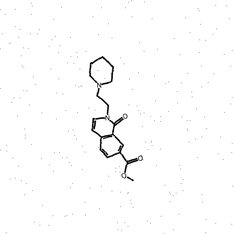 COC(=O)c1ccc2ccn(CCN3CCCCC3)c(=O)c2c1